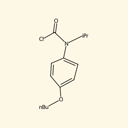 CCCCOc1ccc(N(C(=O)Cl)C(C)C)cc1